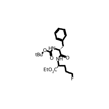 CCOC(=O)[C@@H](CCCF)NC(=O)[C@@H](Cc1ccccc1)NC(=O)OC(C)(C)C